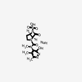 Cc1nnc(O)c(N(C)C(=O)N2CC[C@@H]3[C@H]2C(=O)N3S(=O)(=O)O)c1C.[NaH]